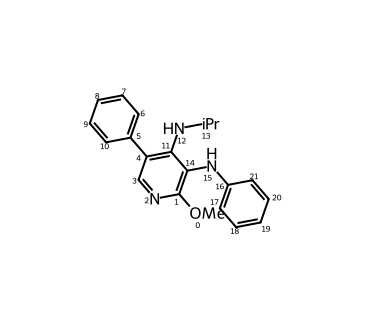 COc1ncc(-c2ccccc2)c(NC(C)C)c1Nc1ccccc1